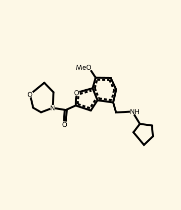 COc1ccc(CNC2CCCC2)c2cc(C(=O)N3CCOCC3)oc12